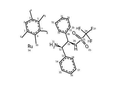 Cc1cc(C)c(C)c(C)c1C.N[C@H](c1ccccc1)[C@H](NS(=O)(=O)C(F)(F)F)c1ccccc1.[Ru]